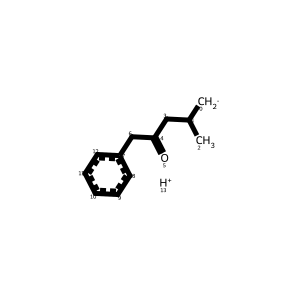 [CH2]C(C)CC(=O)Cc1ccccc1.[H+]